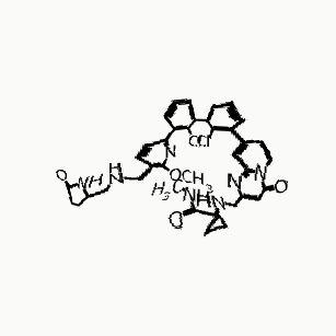 CNC(=O)C1(NCc2cc(=O)n3ccc(-c4cccc(-c5cccc(-c6ccc(CNCC7CCC(=O)N7)c(OC)n6)c5Cl)c4Cl)cc3n2)CC1